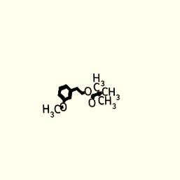 COc1cccc(CCOC(=O)C(C)(C)C)c1